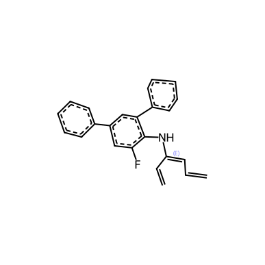 C=C/C=C(\C=C)Nc1c(F)cc(-c2ccccc2)cc1-c1ccccc1